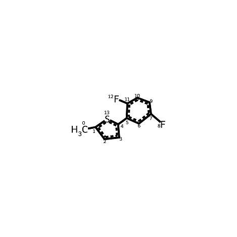 Cc1ccc(-c2cc(F)ccc2F)s1